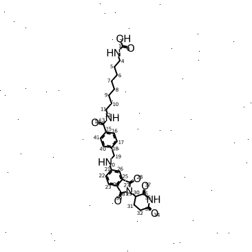 O=C(O)NCCCCCCCCNC(=O)c1ccc(CNc2ccc3c(c2)C(=O)N(C2CCC(=O)NC2=O)C3=O)cc1